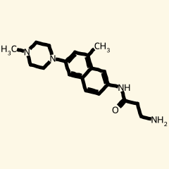 Cc1cc(N2CCN(C)CC2)cc2ccc(NC(=O)CCN)cc12